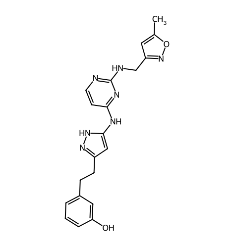 Cc1cc(CNc2nccc(Nc3cc(CCc4cccc(O)c4)n[nH]3)n2)no1